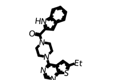 CCc1cc2c(N3CCN(C(=O)c4cc5ccccc5[nH]4)CC3)ncnc2s1